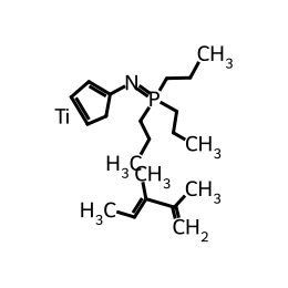 C=C(C)C(C)=CC.CCCP(CCC)(CCC)=NC1=CC=CC1.[Ti]